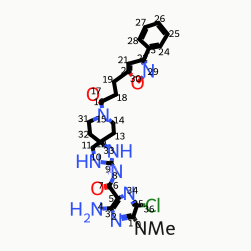 CNc1nc(N)c(C(=O)/N=C2\NCC3(CCN(C(=O)CCc4cc(-c5ccccc5)no4)CC3)N2)nc1Cl